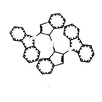 C1=C(n2c3ccccc3c3ccccc32)[CH]([Hf+2][CH]2C(n3c4ccccc4c4ccccc43)=Cc3ccccc32)c2ccccc21.[Cl-].[Cl-]